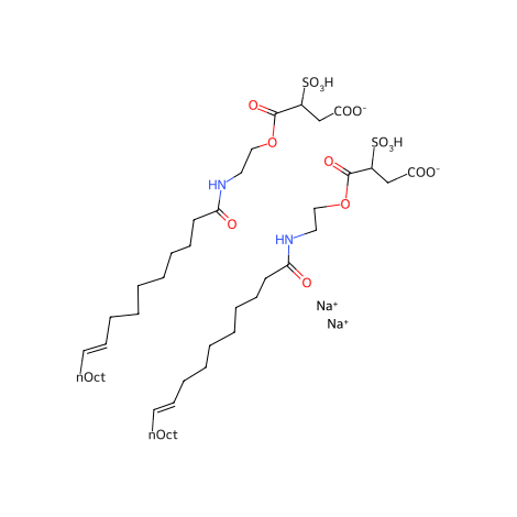 CCCCCCCCC=CCCCCCCCC(=O)NCCOC(=O)C(CC(=O)[O-])S(=O)(=O)O.CCCCCCCCC=CCCCCCCCC(=O)NCCOC(=O)C(CC(=O)[O-])S(=O)(=O)O.[Na+].[Na+]